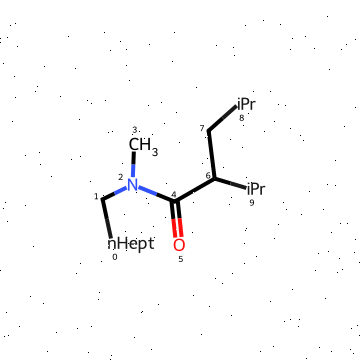 CCCCCCCCN(C)C(=O)C(CC(C)C)C(C)C